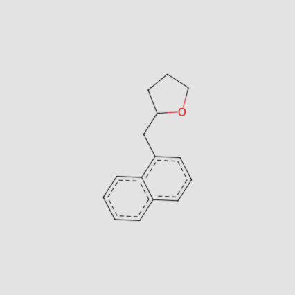 c1ccc2c(CC3CCCO3)cccc2c1